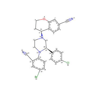 N#Cc1ccc2c(c1)OCC[C@@H]2N1CCN(c2ccc(Br)cc2C#N)[C@H](c2ccc(Cl)cc2)C1